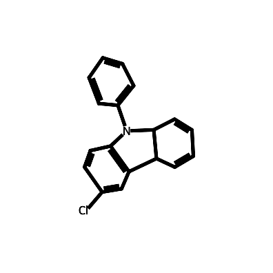 Clc1ccc2c(c1)C1C=CC=CC1N2c1ccccc1